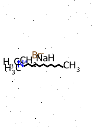 CCCCCCCCCCCC[N+](C)(C)C.[Br-].[NaH]